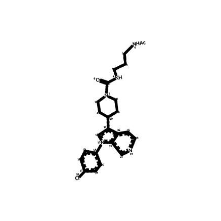 CC(=O)NCCCNC(=O)N1CCC(c2cn(-c3ccc(Cl)cc3)c3cnccc23)CC1